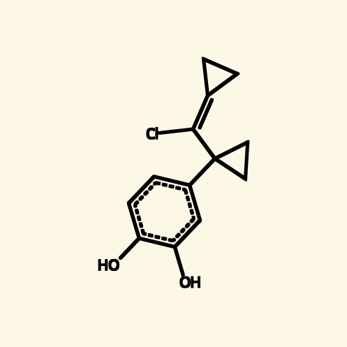 Oc1ccc(C2(C(Cl)=C3CC3)CC2)cc1O